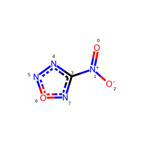 O=[N+]([O-])c1nnon1